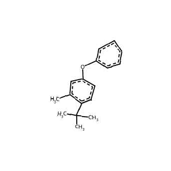 Cc1cc(Oc2ccccc2)ccc1C(C)(C)C